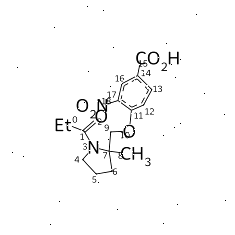 CCC(=O)N1CCCC1(C)COc1ccc(C(=O)O)cc1[N+](=O)[O-]